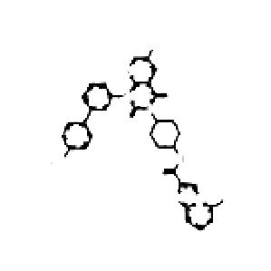 Cc1cccc2nc(C(=O)NC3CCC(n4c(=O)c5cc(F)cnc5n(-c5cccc(-c6ccc(C=O)cc6)c5)c4=O)CC3)cn12